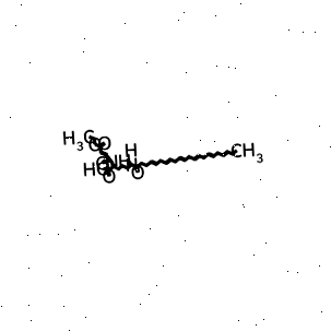 CCC=CCC=CCC=CCC=CCC=CCC=CCCC(=O)NCCC[C@H](NC(=O)C=CC(=O)OCC)C(=O)O